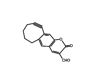 O=Cc1cc2cc3c(cc2oc1=O)C#CCCCC3